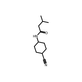 CC(C)CC(=O)NC1CCC(C#N)CC1